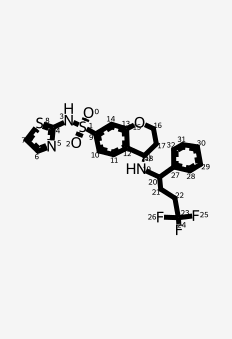 O=S(=O)(Nc1nccs1)c1ccc2c(c1)OCC[C@@H]2NC(CCC(F)(F)F)c1ccccc1